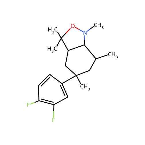 CC1CC(C)(c2ccc(F)c(F)c2)CC2C1N(C)OC2(C)C